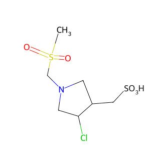 CS(=O)(=O)CN1CC(Cl)C(CS(=O)(=O)O)C1